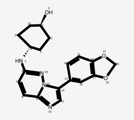 O[C@H]1CC[C@H](Nc2ccc3ncc(-c4ccc5c(c4)OCO5)n3n2)CC1